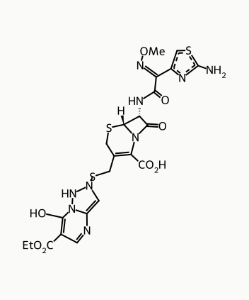 CCOC(=O)C1=C(O)N2NN(SCC3=C(C(=O)O)N4C(=O)[C@@H](NC(=O)C(=NOC)c5csc(N)n5)[C@H]4SC3)C=C2N=C1